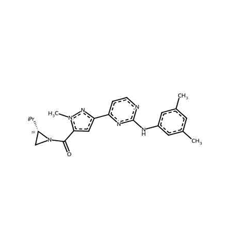 Cc1cc(C)cc(Nc2nccc(-c3cc(C(=O)N4C[C@@H]4C(C)C)n(C)n3)n2)c1